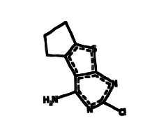 Nc1nc(Cl)nc2sc3c(c12)CCC3